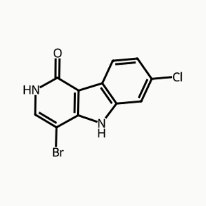 O=c1[nH]cc(Br)c2[nH]c3cc(Cl)ccc3c12